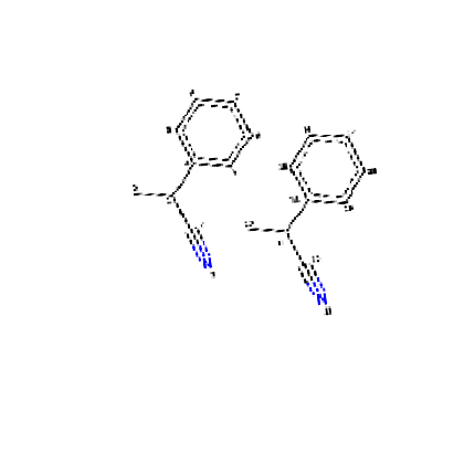 CC(C#N)c1ccccc1.CC(C#N)c1ccccc1